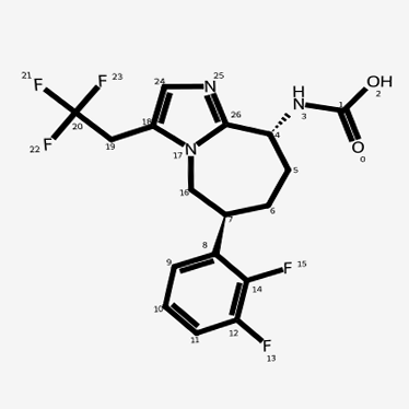 O=C(O)N[C@@H]1CC[C@@H](c2cccc(F)c2F)Cn2c(CC(F)(F)F)cnc21